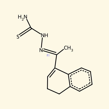 C/C(=N\NC(N)=S)C1=CCCc2ccccc21